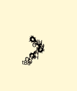 CC(C)(C)OC(=O)N1CCC(CNc2ccn3ncc(C(=O)NC4CCCCC4)c3n2)CC1